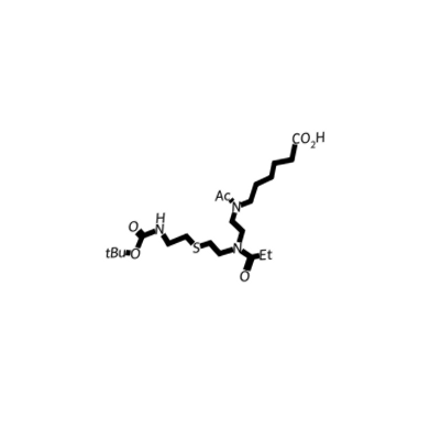 CCC(=O)N(CCSCCNC(=O)OC(C)(C)C)CCN(CCCCCC(=O)O)C(C)=O